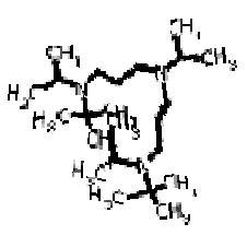 CC(C)N(CCCN(C(C)C)C(C)(C)C)CCCN(C(C)C)C(C)(C)C